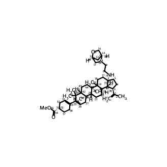 C=C(C)[C@@H]1CC[C@]2(NCCN3C[C@@H]4C[C@H]3CO4)CC[C@]3(C)[C@H](CC[C@@H]4[C@@]5(C)CC=C(C6=CC[C@@H](C(=O)OC)CC6)C(C)(C)[C@@H]5CC[C@]43C)[C@@H]12